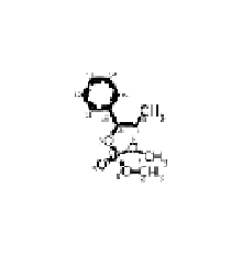 C/C=C(/OP(=O)(OC)OC)c1ccccc1